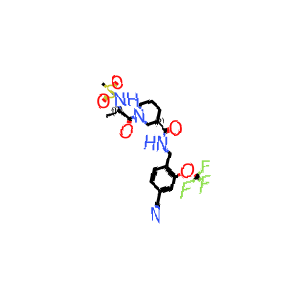 C[C@@H](NS(C)(=O)=O)C(=O)N1CCC[C@@H](C(=O)NCc2ccc(C#N)cc2OC(F)(F)F)C1